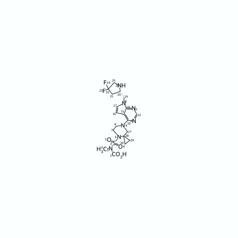 CN(C(=O)O)S(=O)(=O)N1CCN(c2ncnc3c2ccn3C[C@@H]2CC(F)(F)CN2)CC12CC2